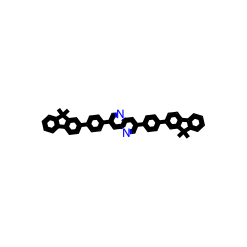 CC1(C)c2ccccc2-c2ccc(-c3ccc(-c4cnc5cc(-c6ccc(-c7ccc8c(c7)C(C)(C)c7ccccc7-8)cc6)cnc5c4)cc3)cc21